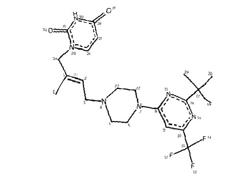 C/C(=C\CN1CCN(c2cc(C(F)(F)F)nc(C(C)(C)C)n2)CC1)Cn1ccc(=O)[nH]c1=O